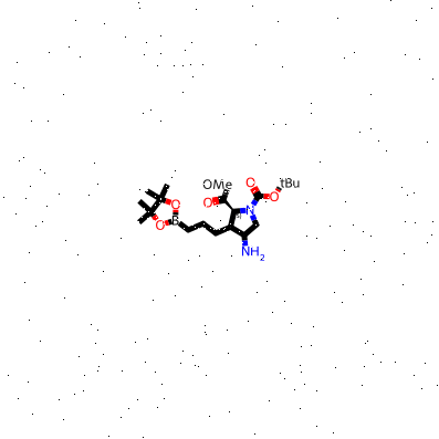 COC(=O)[C@@H]1C(CCCB2OC(C)(C)C(C)(C)O2)C(N)CN1C(=O)OC(C)(C)C